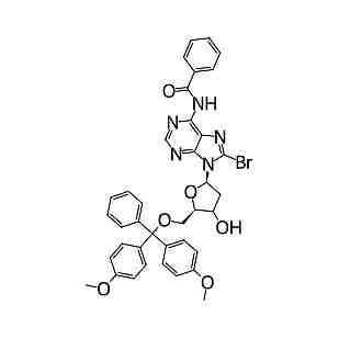 COc1ccc(C(OC[C@H]2O[C@@H](n3c(Br)nc4c(NC(=O)c5ccccc5)ncnc43)CC2O)(c2ccccc2)c2ccc(OC)cc2)cc1